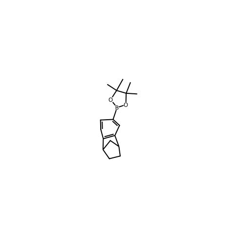 CC1(C)OB(c2ccc3c(c2)C2CCC3C2)OC1(C)C